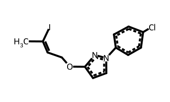 CC(I)=CCOc1ccn(-c2ccc(Cl)cc2)n1